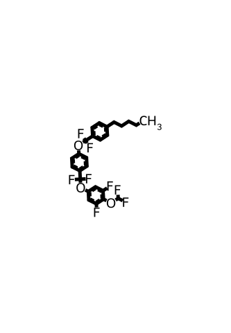 CCCCCc1ccc(C(F)(F)Oc2ccc(C(F)(F)Oc3cc(F)c(OC(F)F)c(F)c3)cc2)cc1